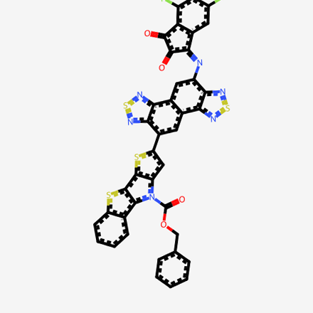 O=C(OCc1ccccc1)n1c2cc(-c3cc4c(cc(/N=c5\c(=O)c(=O)c6c(F)cc(F)cc56)c5nsnc54)c4nsnc34)sc2c2sc3ccccc3c21